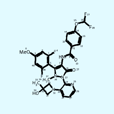 COc1cc(F)c(-c2c(NC(=O)c3ccc(OC(F)F)cc3)c(=O)n(-c3ncccc3N3CC(C)(O)C3)n2C)c(F)c1